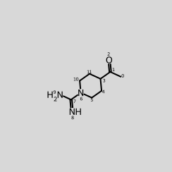 CC(=O)C1CCN(C(=N)N)CC1